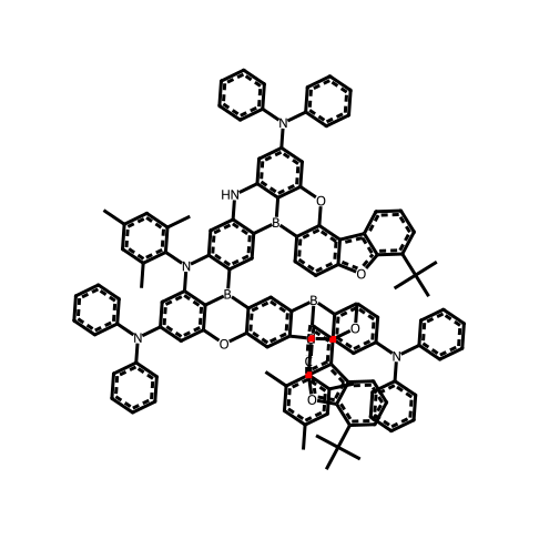 Cc1cc(C)c(N2c3cc4c(cc3B3c5cc6c(cc5Oc5cc(N(c7ccccc7)c7ccccc7)cc2c53)N(c2c(C)cc(C)cc2C)c2cc(N(c3ccccc3)c3ccccc3)cc3c2B6c2ccc5oc6c(C(C)(C)C)cccc6c5c2O3)B2c3ccc5oc6c(C(C)(C)C)cccc6c5c3Oc3cc(N(c5ccccc5)c5ccccc5)cc(c32)N4)c(C)c1